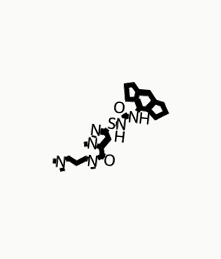 CN(C)CCCN(C)C(=O)c1cc(SNC(=O)Nc2c3c(cc4c2CCC4)CCC3)nn1C